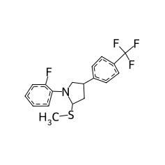 CSC1CC(c2ccc(C(F)(F)F)cc2)CN1c1ccccc1F